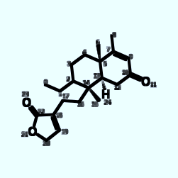 CCC1CC[C@]2(C)C(C)=CC(=O)C[C@H]2[C@]1(C)CCC1=CCOC1=O